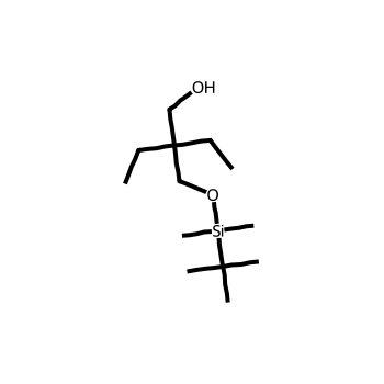 CCC(CC)(CO)CO[Si](C)(C)C(C)(C)C